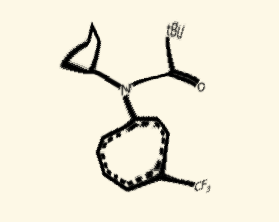 CC(C)(C)C(=O)N(c1cccc(C(F)(F)F)c1)C1CC1